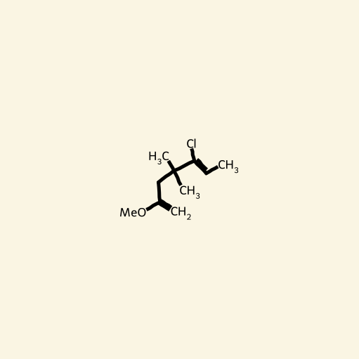 C=C(CC(C)(C)C(Cl)=CC)OC